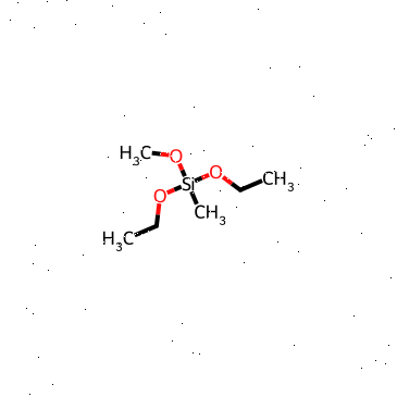 CCO[Si](C)(OC)OCC